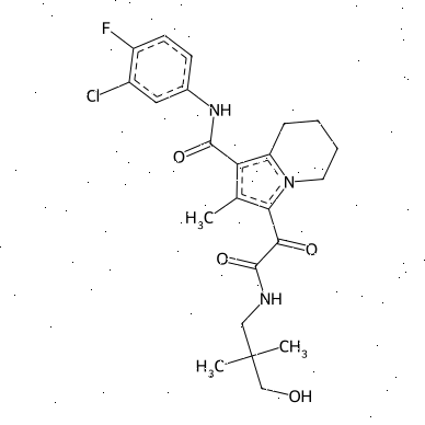 Cc1c(C(=O)Nc2ccc(F)c(Cl)c2)c2n(c1C(=O)C(=O)NCC(C)(C)CO)CCCC2